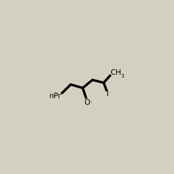 CCCCC([O])CC(C)I